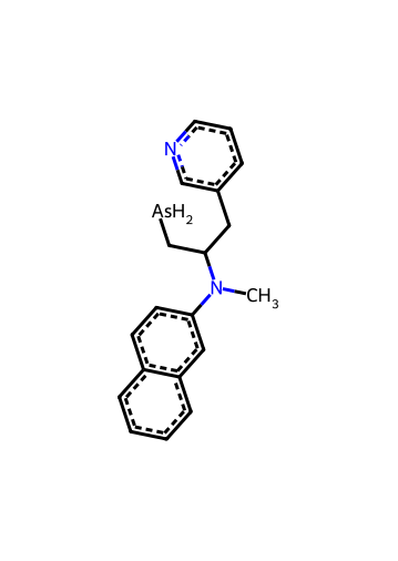 CN(c1ccc2ccccc2c1)C(C[AsH2])Cc1cccnc1